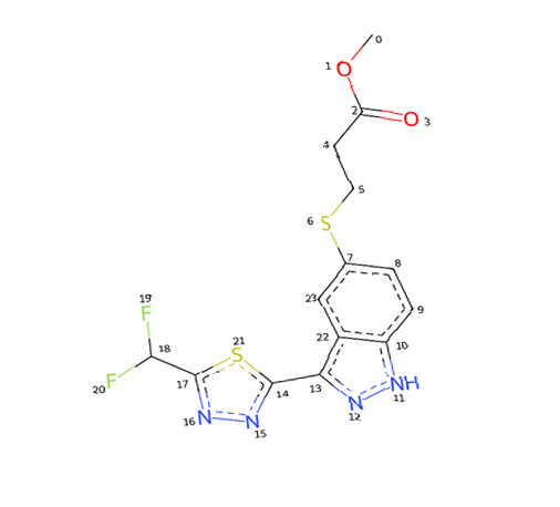 COC(=O)CCSc1ccc2[nH]nc(-c3nnc(C(F)F)s3)c2c1